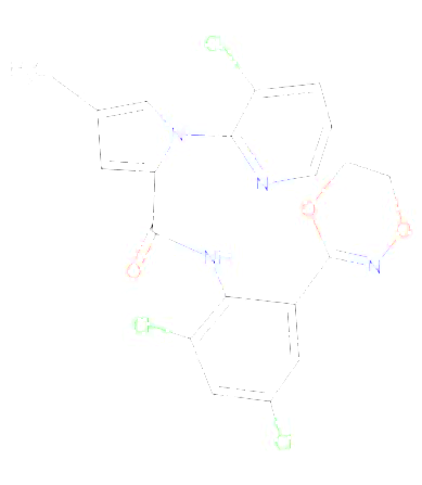 Cc1cc(C(=O)Nc2c(Cl)cc(Cl)cc2C2=NOCCO2)n(-c2ncccc2Cl)c1